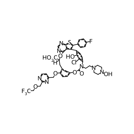 O=C(O)[C@H]1Cc2cc(ccc2OCc2ccnc(COCC(F)(F)F)n2)OC(=O)N(CCN2CCN(O)CC2)c2ccc(c(O)c2Cl)-c2c(-c3ccc(F)cc3)sc3ncnc(c23)O1